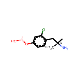 C[C@](N)(Cc1ccc(OBO)cc1Cl)C(=O)O